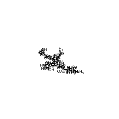 CC[C@H](C)[C@H](NC(=O)C1CN1C)C(=O)N(C)[C@H](C[C@@H](OC(C)=O)c1nc(C(=O)N(C)[C@@H](Cc2ccc(OC3OC(CO)C(O)C(O)C3O)cc2)C(=O)N[C@@H](CCCNC(N)=O)C(=O)N[C@H](C(=O)N2CCN(C(=O)CCCN3C(=O)C=CC3O)CC2)C(C)C)cs1)C(C)C